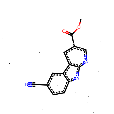 COC(=O)c1cnc2[nH]c3ccc(C#N)cc3c2c1